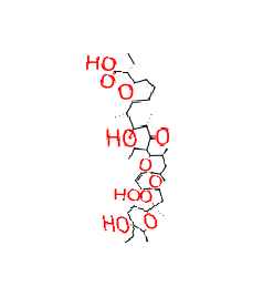 CC[C@@H](C(=O)O)C1CCCC([C@@H](C)[C@H](O)[C@H](C)C(=O)[C@H](CC)C2O[C@]3(C=C[C@@H](O)[C@]4(CC[C@@](C)(C5CC[C@](O)(CC)[C@H](C)O5)O4)O3)[C@H](C)C[C@@H]2C)O1